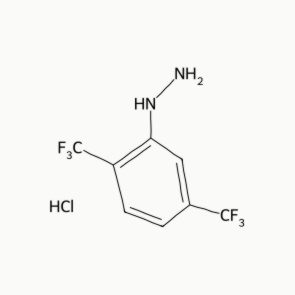 Cl.NNc1cc(C(F)(F)F)ccc1C(F)(F)F